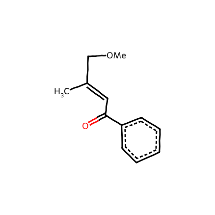 COC/C(C)=C/C(=O)c1ccccc1